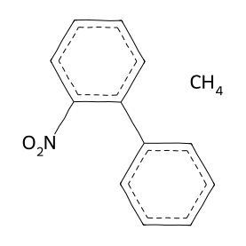 C.O=[N+]([O-])c1ccccc1-c1ccccc1